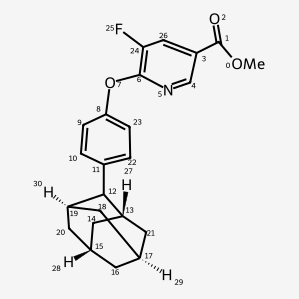 COC(=O)c1cnc(Oc2ccc(C3[C@H]4C[C@@H]5C[C@@H](C[C@H]3C5)C4)cc2)c(F)c1